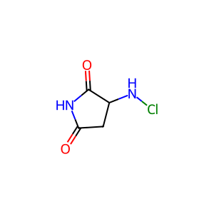 O=C1CC(NCl)C(=O)N1